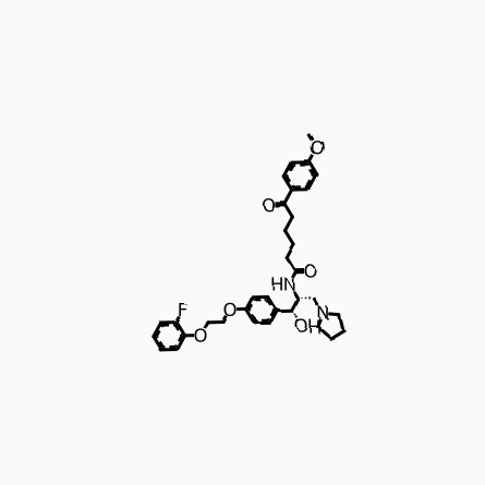 COc1ccc(C(=O)CCCCC(=O)N[C@H](CN2CCCC2)[C@H](O)c2ccc(OCCOc3ccccc3F)cc2)cc1